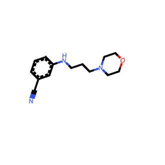 N#Cc1cc[c]c(NCCCN2CCOCC2)c1